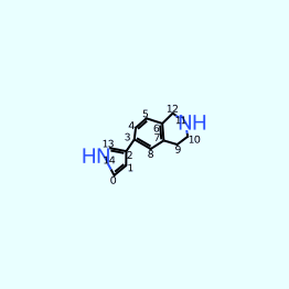 c1cc(-c2ccc3c(c2)CCNC3)c[nH]1